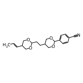 CC=CC1COC(CCC2COC(c3ccc(C#N)cc3)OC2)OC1